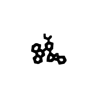 CCC(C)c1ccc(-c2cccc3c2oc2ccccc23)c(-c2cc3ccccc3c3ccccc23)c1